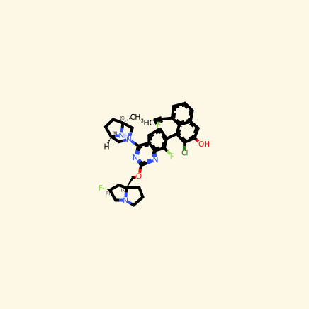 C#Cc1cccc2cc(O)c(Cl)c(-c3c(F)cc4c(N5C[C@H]6CC[C@@](C)(C5)N6)nc(OC[C@@]56CCCN5C[C@H](F)C6)nc4c3F)c12